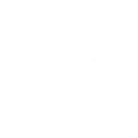 CC(C)c1ccc(Sc2ccc3c(c2)B(O)OC3)cc1